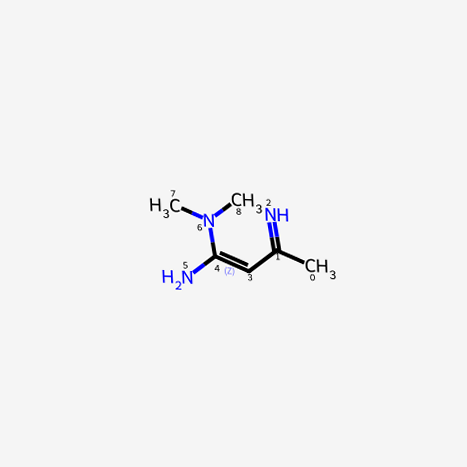 CC(=N)/C=C(/N)N(C)C